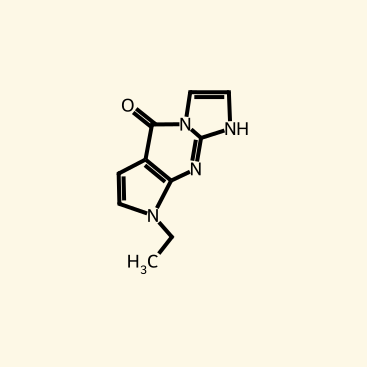 CCn1ccc2c(=O)n3cc[nH]c3nc21